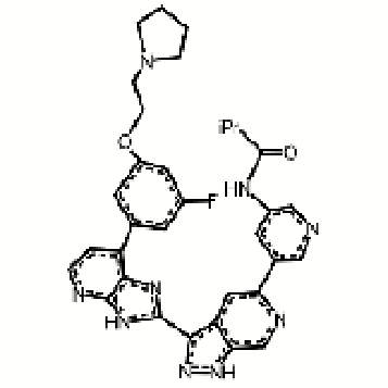 CC(C)C(=O)Nc1cncc(-c2cc3c(-c4nc5c(-c6cc(F)cc(OCCN7CCCC7)c6)ccnc5[nH]4)n[nH]c3cn2)c1